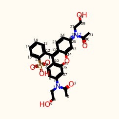 CC(=O)N(CCO)c1ccc2c(-c3ccccc3S(=O)(=O)O)c3cc/c(=[N+](\CCO)C(C)=O)cc-3oc2c1